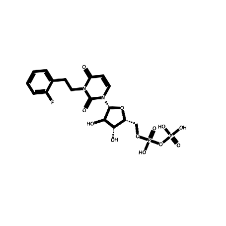 O=c1ccn([C@@H]2O[C@H](COP(=O)(O)OP(=O)(O)O)[C@H](O)C2O)c(=O)n1CCc1ccccc1F